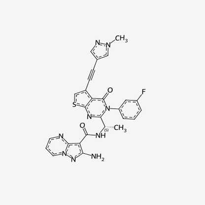 C[C@H](NC(=O)c1c(N)nn2cccnc12)c1nc2scc(C#Cc3cnn(C)c3)c2c(=O)n1-c1cccc(F)c1